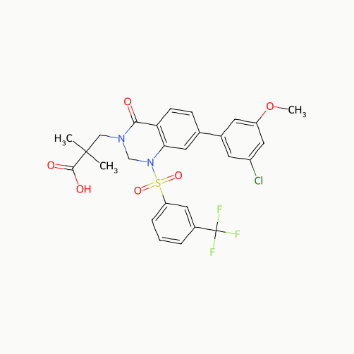 COc1cc(Cl)cc(-c2ccc3c(c2)N(S(=O)(=O)c2cccc(C(F)(F)F)c2)CN(CC(C)(C)C(=O)O)C3=O)c1